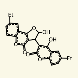 CCc1ccc2oc(=O)c(C3c4c(c5cc(CC)ccc5oc4=O)OC3O)c(O)c2c1